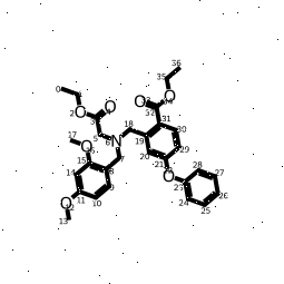 CCOC(=O)CN(Cc1ccc(OC)cc1OC)Cc1cc(Oc2ccccc2)ccc1C(=O)OCC